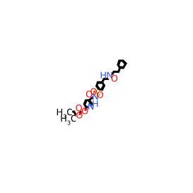 CC[C@@H](C)OC(=O)Oc1ccc(C(=O)NS(=O)(=O)c2ccc(CCNC(=O)CCc3ccccc3)cc2)cn1